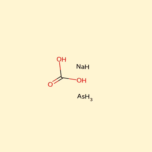 O=C(O)O.[AsH3].[NaH]